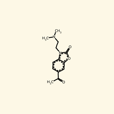 CC(=O)c1ccc2c(c1)oc(=O)n2CCN(C)C